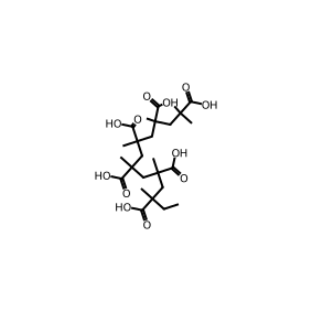 CCC(C)(CC(C)(CC(C)(CC(C)(CC(C)(CC(C)(C)C(=O)O)C(=O)O)C(=O)O)C(=O)O)C(=O)O)C(=O)O